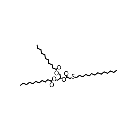 CCCCCCCCCCCCCCSCC(=O)OC(COC(=O)CCCCCCCCCC)COC(=O)CCCCCCCCCC